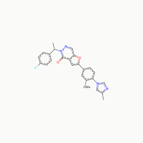 COc1cc(-c2cc3c(=O)n(C(C)c4ccc(F)cc4)ncc3o2)ccc1-n1cnc(C)c1